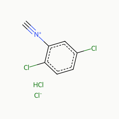 C#[N+]c1cc(Cl)ccc1Cl.Cl.[Cl-]